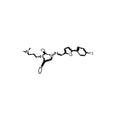 CN(C)CCCN1C(=O)CN(/N=C/c2ccc(-c3ccc(Cl)cc3)o2)C1=O